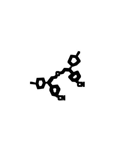 C[C@H]1CC[C@H](C(=CCOCC=C(c2ccc(C#N)cc2)[C@H]2CC[C@H](C)CC2)c2ccc(C#N)cc2)CC1